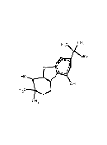 CCCCC(C)(C)c1cc(O)c2c(c1)OC1C2CCC(C)(C)C1O